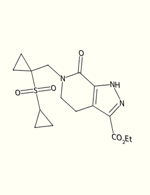 CCOC(=O)c1n[nH]c2c1CCN(CC1(S(=O)(=O)C3CC3)CC1)C2=O